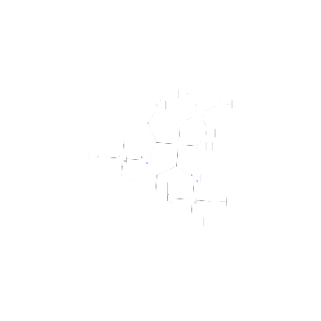 CCC(N[Si](C)(C)C)[Si](C)(O[Si](C)(C)C)C(CC)N[Si](C)(C)C